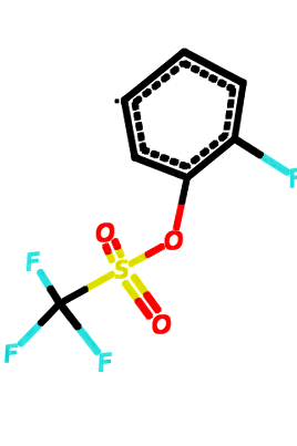 O=S(=O)(Oc1c[c]ccc1F)C(F)(F)F